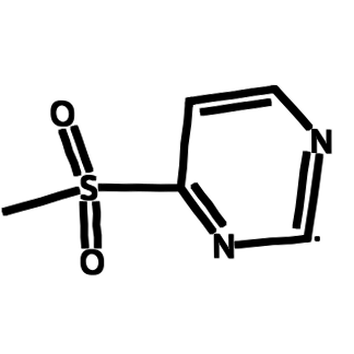 CS(=O)(=O)c1ccn[c]n1